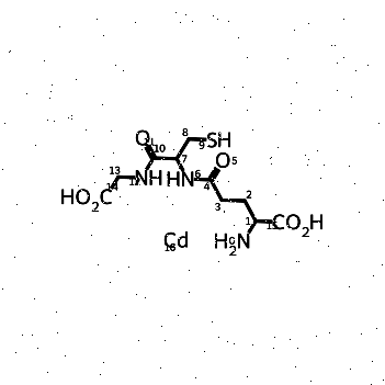 NC(CCC(=O)NC(CS)C(=O)NCC(=O)O)C(=O)O.[Cd]